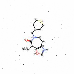 CNC1C(=O)N(CC2CCSCC2)CCc2ncoc21